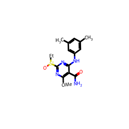 CC[S+]([O-])c1nc(Nc2cc(C)cc(C)c2)c(C(N)=O)c(OC)n1